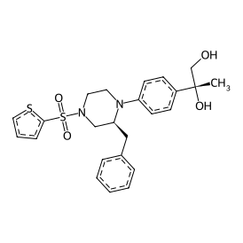 C[C@](O)(CO)c1ccc(N2CCN(S(=O)(=O)c3cccs3)C[C@@H]2Cc2ccccc2)cc1